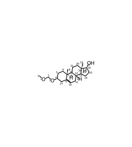 COCO[C@H]1CC[C@@]2(C)C(=CC[C@H]3[C@@H]4CC[C@H](O)[C@@]4(C)CC[C@@H]32)C1